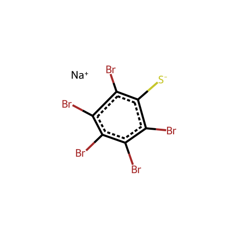 [Na+].[S-]c1c(Br)c(Br)c(Br)c(Br)c1Br